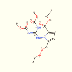 CCOOCc1ccc(C(=O)OCC)n1N/C(=N/C(=O)OC)NC(=O)OC